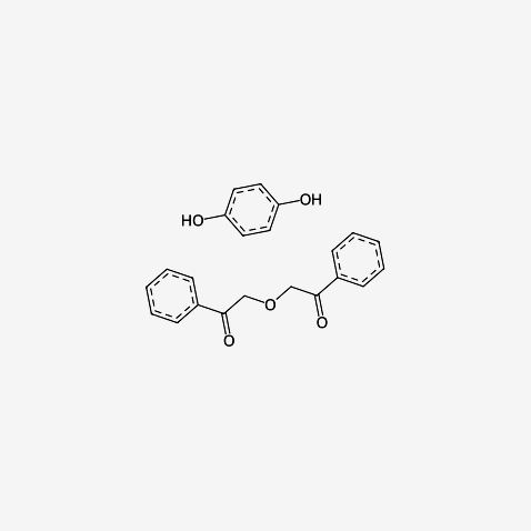 O=C(COCC(=O)c1ccccc1)c1ccccc1.Oc1ccc(O)cc1